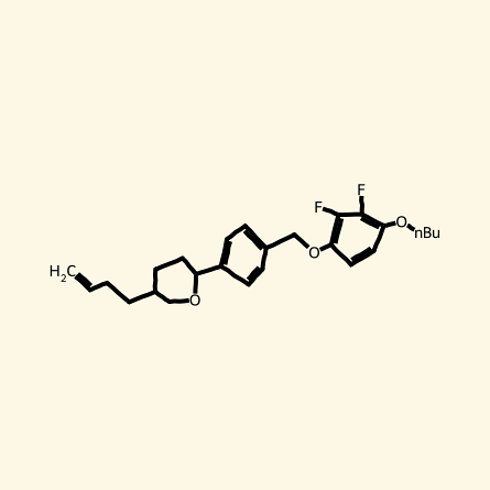 C=CCCC1CCC(c2ccc(COc3ccc(OCCCC)c(F)c3F)cc2)OC1